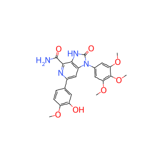 COc1ccc(-c2cc3c([nH]c(=O)n3-c3cc(OC)c(OC)c(OC)c3)c(C(N)=O)n2)cc1O